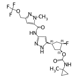 Cn1nc(COC(F)(F)F)cc1C(=O)Nc1cc([C@H]2C[C@@H](F)[C@@H](OC(=O)NC3(C)CC3)C2)[nH]n1